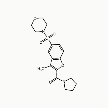 Cc1c(C(=O)N2CCCC2)oc2ccc(S(=O)(=O)N3CCOCC3)cc12